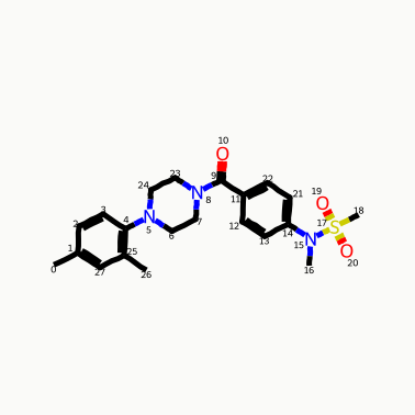 Cc1ccc(N2CCN(C(=O)c3ccc(N(C)S(C)(=O)=O)cc3)CC2)c(C)c1